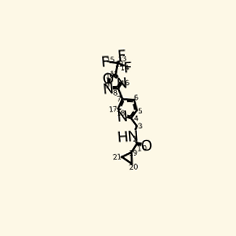 O=C(NCc1ccc(-c2noc(C(F)(F)F)n2)cn1)C1CC1